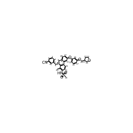 [C-]#[N+]c1cccc(CN(Cc2ccc(Oc3cccc(OCC4CCOC4)c3)cc2)c2cccc(NS(C)(=O)=O)c2C)c1